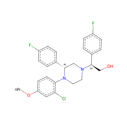 CCCOc1ccc(N2CCN([C@H](CO)c3ccc(F)cc3)C[C@H]2c2ccc(F)cc2)c(Cl)c1